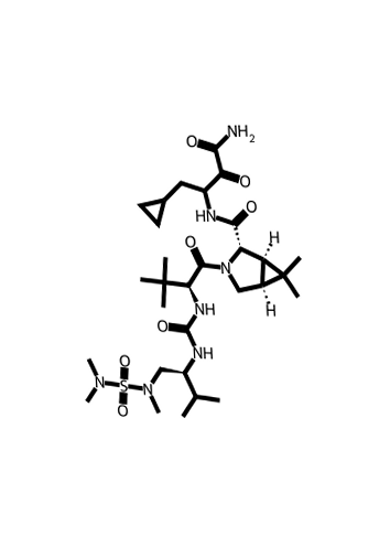 CC(C)[C@@H](CN(C)S(=O)(=O)N(C)C)NC(=O)N[C@H](C(=O)N1C[C@H]2[C@@H]([C@H]1C(=O)NC(CC1CC1)C(=O)C(N)=O)C2(C)C)C(C)(C)C